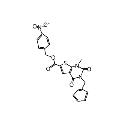 Cn1c(=O)n(Cc2ccccc2)c(=O)c2cc(C(=O)OCc3ccc([N+](=O)[O-])cc3)sc21